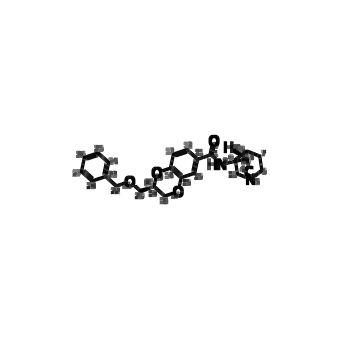 O=C(N[C@H]1CN2CCC1CC2)c1ccc2c(c1)OC[C@@H](COCc1ccccc1)O2